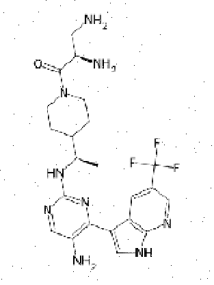 C[C@@H](Nc1ncc(N)c(-c2c[nH]c3ncc(C(F)(F)F)cc23)n1)C1CCN(C(=O)[C@H](N)CN)CC1